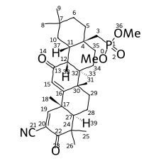 COP(=O)(C[C@]12CCC(C)(C)C[C@H]1[C@H]1C(=O)C=C3[C@@]4(C)C=C(C#N)C(=O)C(C)(C)[C@@H]4CC[C@@]3(C)[C@]1(C)CC2)OC